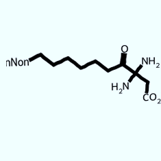 CCCCCCCCCCCCCCCC(=O)C(N)(N)CC(=O)O